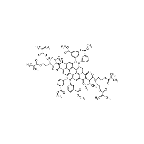 C=C(C)C(=O)OCCN(CCOC(=O)C(=C)C)C(=O)C(C(C)C)N1C(=O)c2cc(Oc3cccc(C(=O)OC)c3)c3c4c(Oc5cccc(C(=O)OC)c5)cc5c6c(cc(Oc7cccc(C(=O)OC)c7)c(c7c(Oc8cccc(C(=O)OC)c8)cc(c2c37)C1=O)c64)C(=O)N(C(C(=O)N(CCOC(=O)C(=C)C)CCOC(=O)C(=C)C)C(C)C)C5=O